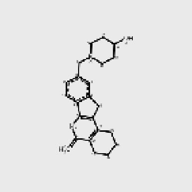 C=C1NC2=C(Cc3cc(CN4CCC(O)CC4)ccc32)C2=C1CCCC2